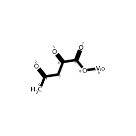 CC(=O)CC(=O)C(=O)[O][Mo]